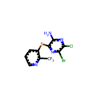 Nc1nc(Cl)c(Br)nc1Sc1cccnc1C(F)(F)F